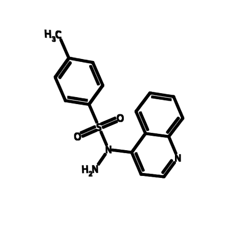 Cc1ccc(S(=O)(=O)N(N)c2ccnc3ccccc23)cc1